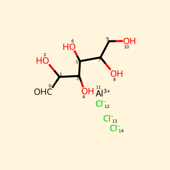 O=CC(O)C(O)C(O)C(O)CO.[Al+3].[Cl-].[Cl-].[Cl-]